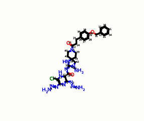 NN=NC1=NC(N=NN)=C(Cl)N[C@H]1C(=O)/N=C1/NC2(CCN(C(=O)CCc3ccc(OCc4ccccc4)cc3)CC2)CN1N